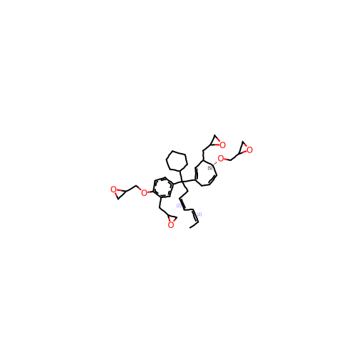 C/C=C\C=C/CC(C1=CC(CC2CO2)[C@H](OCC2CO2)C=CC1)(c1ccc(OCC2CO2)c(CC2CO2)c1)C1CCCCC1